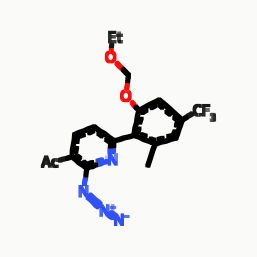 CCOCOc1cc(C(F)(F)F)cc(C)c1-c1ccc(C(C)=O)c(N=[N+]=[N-])n1